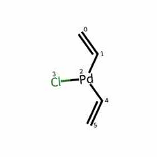 C=[CH][Pd]([Cl])[CH]=C